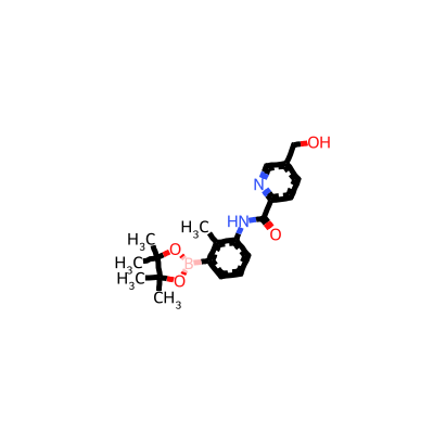 Cc1c(NC(=O)c2ccc(CO)cn2)cccc1B1OC(C)(C)C(C)(C)O1